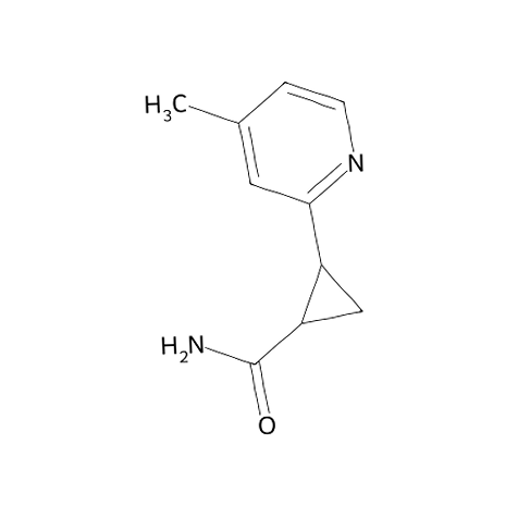 Cc1ccnc(C2CC2C(N)=O)c1